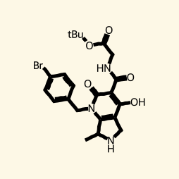 CC1NCc2c(O)c(C(=O)NCC(=O)OC(C)(C)C)c(=O)n(Cc3ccc(Br)cc3)c21